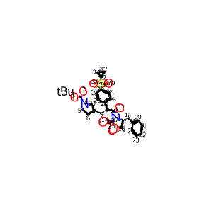 CC(C)(C)OC(=O)N1CC[C@H](C[C@@H](C(=O)N2C(=O)OC[C@H]2Cc2ccccc2)c2ccc(S(=O)(=O)C3CC3)cc2)C1